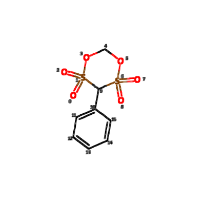 O=S1(=O)OCOS(=O)(=O)C1c1ccccc1